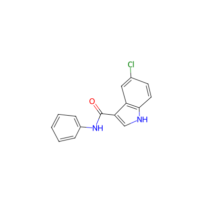 O=C(Nc1ccccc1)c1c[nH]c2ccc(Cl)cc12